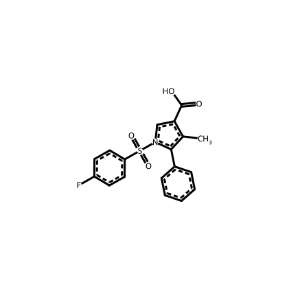 Cc1c(C(=O)O)cn(S(=O)(=O)c2ccc(F)cc2)c1-c1ccccc1